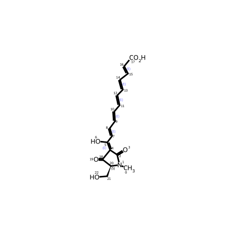 CN1C(=O)\C(=C(O)/C=C/C=C/C=C/C=C/C=C/C(=O)O)C(=O)[C@@H]1CO